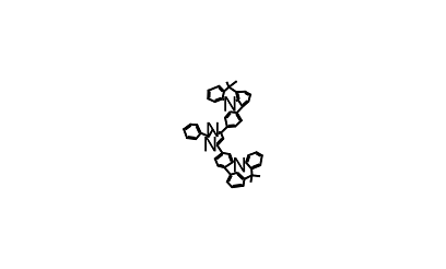 CC1(C)c2ccccc2-n2c3cc(-c4cc(-c5ccc6c7cccc8c7n(c6c5)-c5ccccc5C8(C)C)nc(-c5ccccc5)n4)ccc3c3cccc1c32